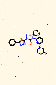 CC1CCCN(c2ccc3c(n2)N(C(=O)Nc2nnc(-c4ccccc4)s2)[C@H]2CCN3C2)C1